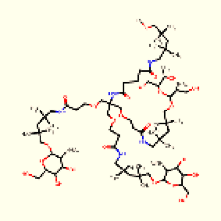 CCOCC(C)(C)CC(C)(C)CNC(=O)CCCC(=O)NC(COCCC(=O)NCC(C)(C)CC(C)(C)COC1OC(CO)C(O)C(O)C1NC(C)=O)(COCCC(=O)NCC(C)(C)CC(C)(C)COC1OC(CO)C(O)C(O)C1NC(C)=O)COCCC(=O)NCC(C)(C)CC(C)(C)COC(OC(CO)[C@@H](C)O)[C@H](CO)NC(C)=O